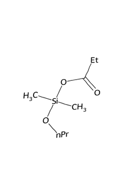 CCCO[Si](C)(C)OC(=O)CC